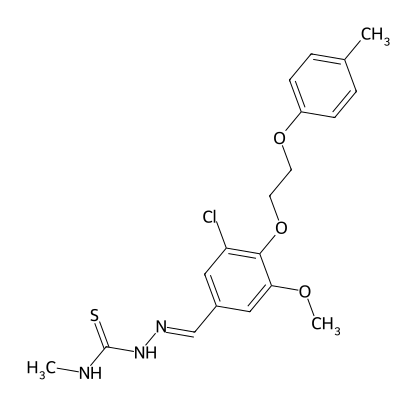 CNC(=S)NN=Cc1cc(Cl)c(OCCOc2ccc(C)cc2)c(OC)c1